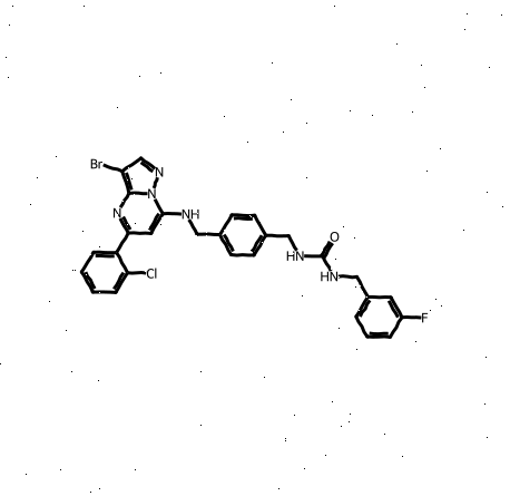 O=C(NCc1ccc(CNc2cc(-c3ccccc3Cl)nc3c(Br)cnn23)cc1)NCc1cccc(F)c1